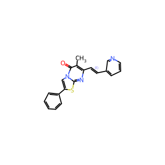 Cc1c(/C=C/c2cccnc2)nc2sc(-c3ccccc3)cn2c1=O